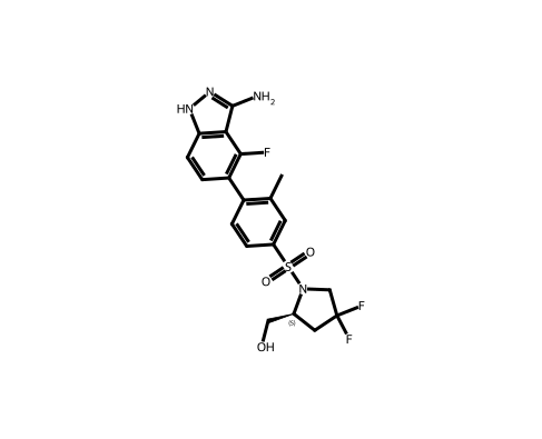 Cc1cc(S(=O)(=O)N2CC(F)(F)C[C@H]2CO)ccc1-c1ccc2[nH]nc(N)c2c1F